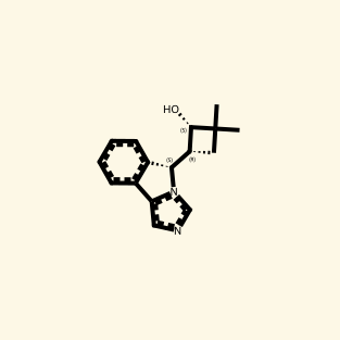 CC1(C)C[C@H]([C@H]2c3ccccc3-c3cncn32)[C@@H]1O